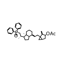 C=C1C(OC(C)=O)CC2CC12C/C=C1\CCC[C@@]2(C)C1CCC2[C@H](C)CP(=O)(c1ccccc1)c1ccccc1